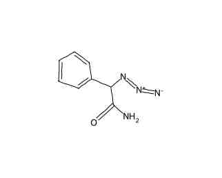 [N-]=[N+]=NC(C(N)=O)c1ccccc1